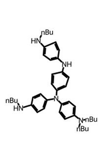 CCCCNc1ccc(Nc2ccc(N(c3ccc(NCCCC)cc3)c3ccc(N(CCCC)CCCC)cc3)cc2)cc1